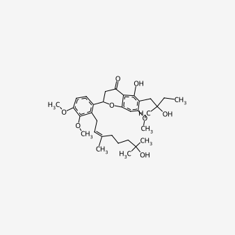 CCC(C)(O)Cc1c(OC)cc2c(c1O)C(=O)CC(c1ccc(OC)c(OC)c1CC=C(C)CCCC(C)(C)O)O2